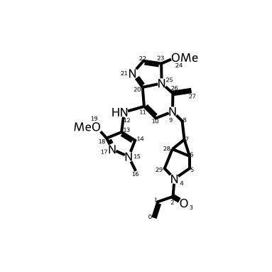 C=CC(=O)N1CC2C(CN3C=C(Nc4cn(C)nc4OC)c4ncc(OC)n4C3=C)C2C1